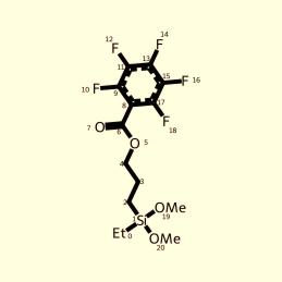 CC[Si](CCCOC(=O)c1c(F)c(F)c(F)c(F)c1F)(OC)OC